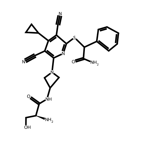 N#Cc1c(SC(C(N)=O)c2ccccc2)nc(N2CC(NC(=O)[C@@H](N)CO)C2)c(C#N)c1C1CC1